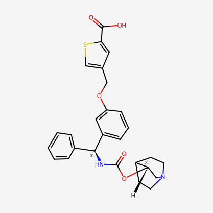 O=C(N[C@@H](c1ccccc1)c1cccc(OCc2csc(C(=O)O)c2)c1)O[C@H]1CN2CCC1CC2